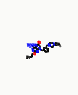 CC(C)CCOc1nc(N)c2c(n1)N(Cc1cccc(CN3CCN(C)CC3)c1)CC(=O)N2